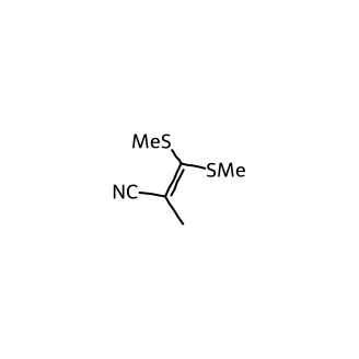 CSC(SC)=C(C)C#N